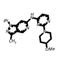 COC1CCN(c2nccc(Nc3cc4c(cn3)c(C)nn4C(C)C)n2)CC1